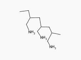 CCC(CN)CC(CN)CC(C)CN